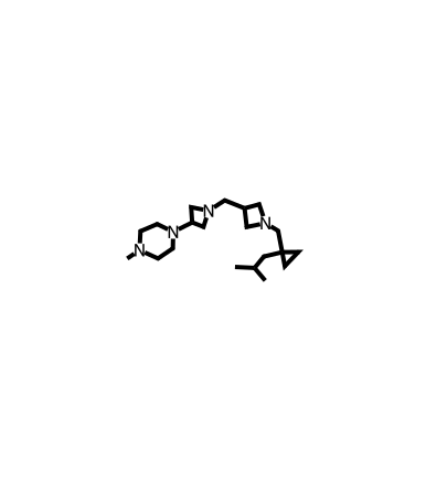 CC(C)CC1(CN2CC(CN3CC(N4CCN(C)CC4)C3)C2)CC1